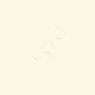 CC(=O)N1CCc2cc(-c3ccccc3)ccc21